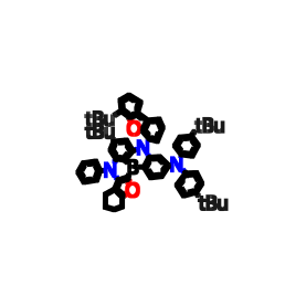 CC(C)(C)c1ccc(N(c2ccc(C(C)(C)C)cc2)c2ccc3c(c2)N(c2cccc4c2oc2c(C(C)(C)C)cccc24)c2cc(C(C)(C)C)cc4c2B3c2oc3c(c2N4c2ccccc2)CCCC3)cc1